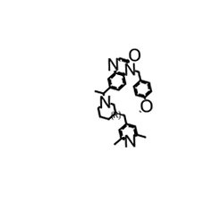 COc1ccc(Cn2c(=O)cnc3cc(C(C)N4CCC[C@H](Cc5cc(C)nc(C)c5)C4)ccc32)cc1